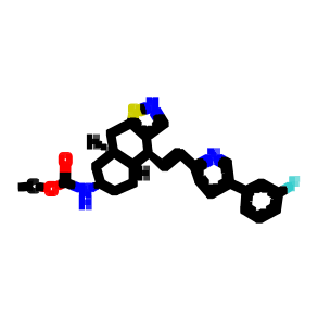 CCOC(=O)N[C@@H]1CC[C@@H]2[C@H](Cc3sncc3[C@H]2/C=C/c2ccc(-c3cccc(F)c3)cn2)C1